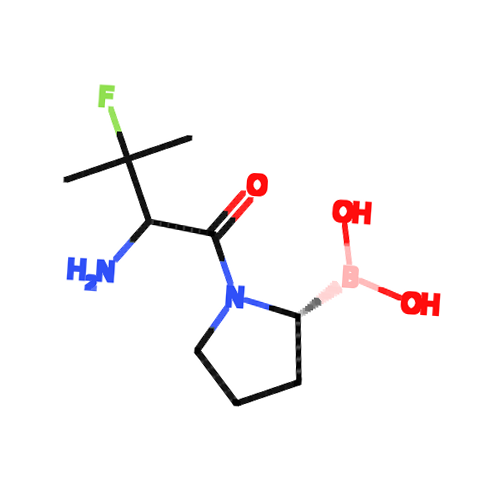 CC(C)(F)C(N)C(=O)N1CCC[C@H]1B(O)O